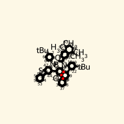 CC(C)(C)c1ccc(N2B3c4oc5cc6c(cc5c4N(c4ccc(C(C)(C)C)cc4-c4ccccc4)c4cc5c(oc7ccccc75)c(c43)-c3cc4c(cc32)sc2ccccc24)C(C)(C)CCC6(C)C)cc1